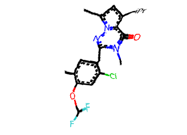 Cc1cc(-c2nn3c(C)cc(C(C)C)c3c(=O)n2C)c(Cl)cc1OC(F)F